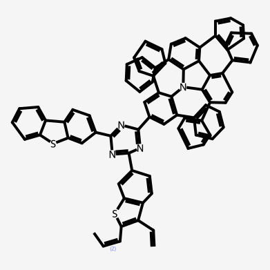 C=Cc1c(/C=C\C)sc2cc(-c3nc(-c4cc(-c5ccccc5)c(-n5c6c(-c7ccccc7)ccc(-c7ccccc7)c6c6c(-c7ccccc7)ccc(-c7ccccc7)c65)c(-c5ccccc5)c4)nc(-c4ccc5c(c4)sc4ccccc45)n3)ccc12